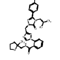 CC1(CNC(=O)c2ccccc2-n2cnc(Cn3nc(-c4ccc(Cl)cc4)n(CC(O)C(F)(F)F)c3=O)n2)CCCO1